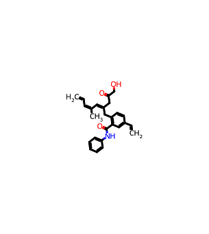 C=C/C=C(C)\C=C(\CC(=O)CO)Cc1ccc(C=C)cc1C(=O)Nc1ccccc1